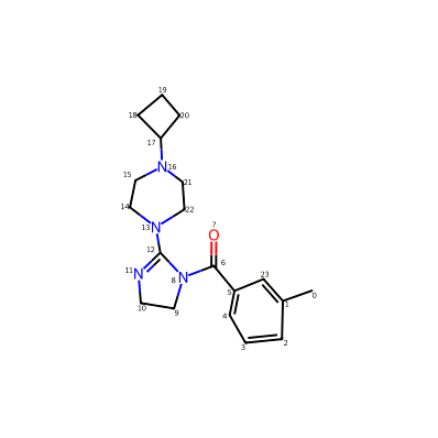 Cc1cccc(C(=O)N2CCN=C2N2CCN(C3CCC3)CC2)c1